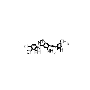 CN1C[C@@H]2C[C@]2(C#Cc2cc3ncnc(Nc4ccc(Cl)c(Cl)c4F)c3cc2N)C1